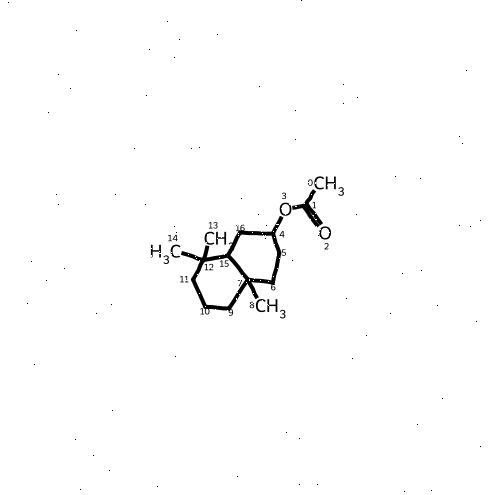 CC(=O)OC1CCC2(C)CCCC(C)(C)C2C1